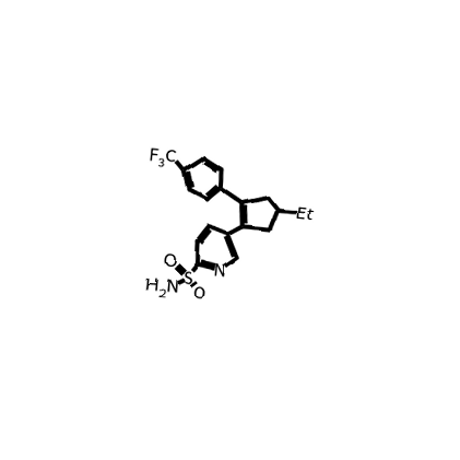 CCC1CC(c2ccc(C(F)(F)F)cc2)=C(c2ccc(S(N)(=O)=O)nc2)C1